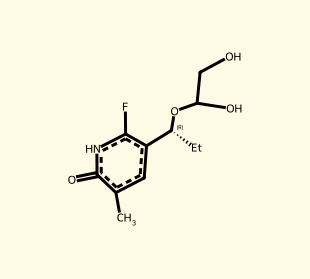 CC[C@@H](OC(O)CO)c1cc(C)c(=O)[nH]c1F